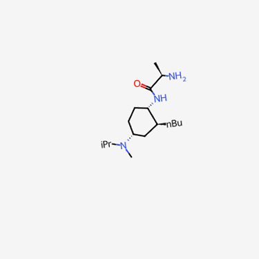 CCCC[C@H]1C[C@H](N(C)C(C)C)CC[C@@H]1NC(=O)[C@@H](C)N